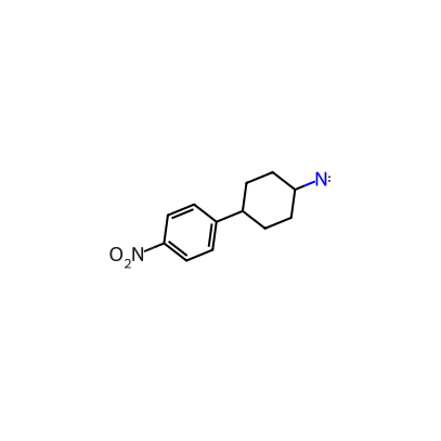 [N]C1CCC(c2ccc([N+](=O)[O-])cc2)CC1